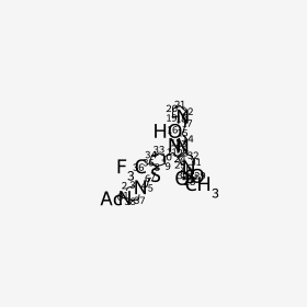 CC(=O)N1CCN(CCSc2cc(-c3nn(CC(O)CN4CCCC4)c4c3CN(S(C)(=O)=O)CC4)ccc2C(F)(F)F)CC1